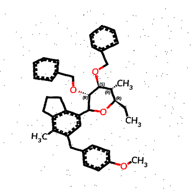 CC[C@H]1OC(c2cc(Cc3ccc(OC)cc3)c(C)c3c2CCC3)[C@H](OCc2ccccc2)[C@@H](OCc2ccccc2)[C@@H]1C